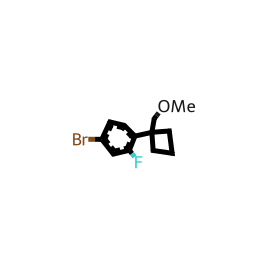 COCC1(c2ccc(Br)cc2F)CCC1